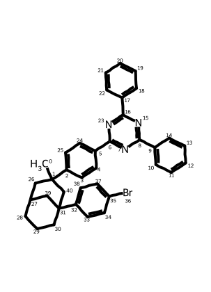 CC1(c2ccc(-c3nc(-c4ccccc4)nc(-c4ccccc4)n3)cc2)CC2CCCC(c3ccc(Br)cc3)(C2)C1